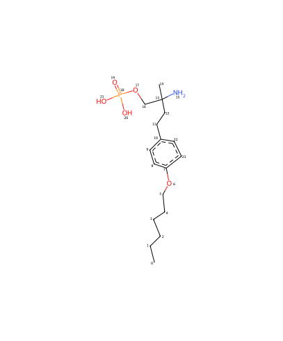 CCCCCCOc1ccc(CCC(C)(N)COP(=O)(O)O)cc1